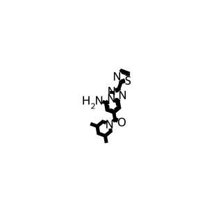 CC1CC(C)CN(C(=O)c2cc(N)n3nc(-c4nccs4)nc3c2)C1